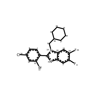 Fc1cc2nc(-c3ccc(Cl)cc3Br)n(CC3CCCCC3)c2cc1F